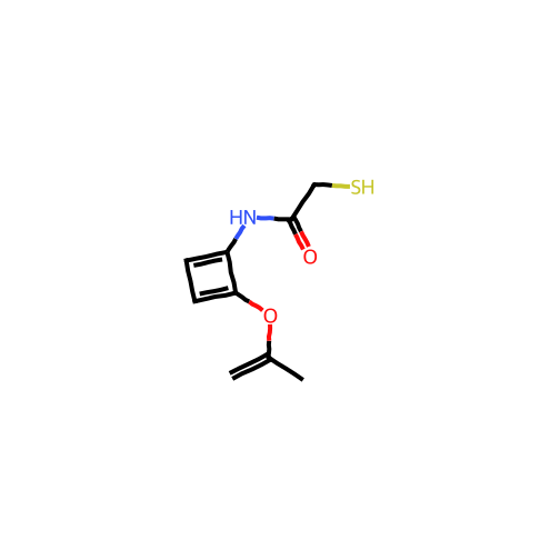 C=C(C)OC1=CC=C1NC(=O)CS